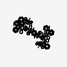 CN[C@@H](C)C(=O)N[C@H](C(=O)N1C[C@@H](NC(=O)c2ccc(C(=O)N[C@H]3C[C@@H](C(=O)Nc4ccccc4-c4ncccn4)N(C(=O)[C@@H](NC(=O)[C@H](C)NC)C4CCCCC4)C3)cc2)C[C@H]1C(=O)Nc1ccccc1-c1ncccn1)C1CCCCC1